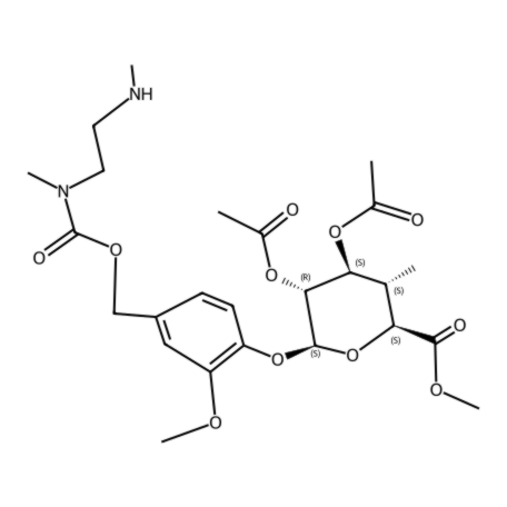 CNCCN(C)C(=O)OCc1ccc(O[C@@H]2O[C@H](C(=O)OC)[C@@H](C)[C@H](OC(C)=O)[C@H]2OC(C)=O)c(OC)c1